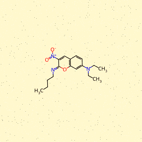 CCCCN=c1oc2cc(N(CC)CC)ccc2cc1[N+](=O)[O-]